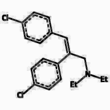 CCN(CC)C/C(=C/c1ccc(Cl)cc1)c1ccc(Cl)cc1